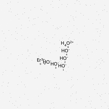 [Er+3].[OH-].[OH-].[OH-].[OH-].[OH-].[OH4+2]